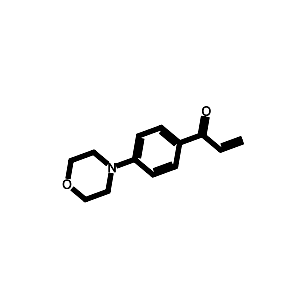 C=CC(=O)c1ccc(N2CCOCC2)cc1